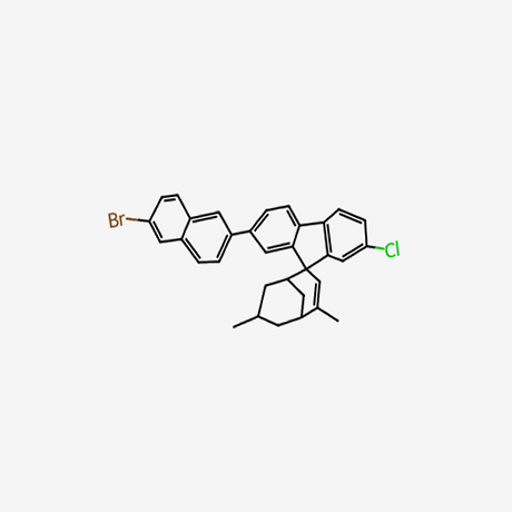 CC1=CC2(c3cc(Cl)ccc3-c3ccc(-c4ccc5cc(Br)ccc5c4)cc32)C2CC(C)CC1C2